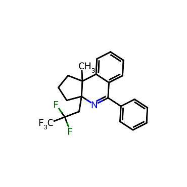 CC12CCCC1(CC(F)(F)C(F)(F)F)N=C(c1ccccc1)c1ccccc12